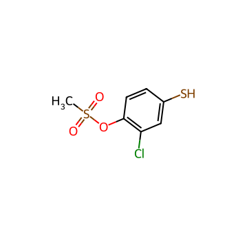 CS(=O)(=O)Oc1ccc(S)cc1Cl